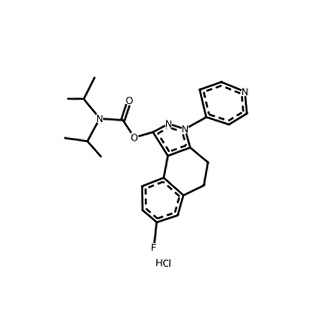 CC(C)N(C(=O)Oc1nn(-c2ccncc2)c2c1-c1ccc(F)cc1CC2)C(C)C.Cl